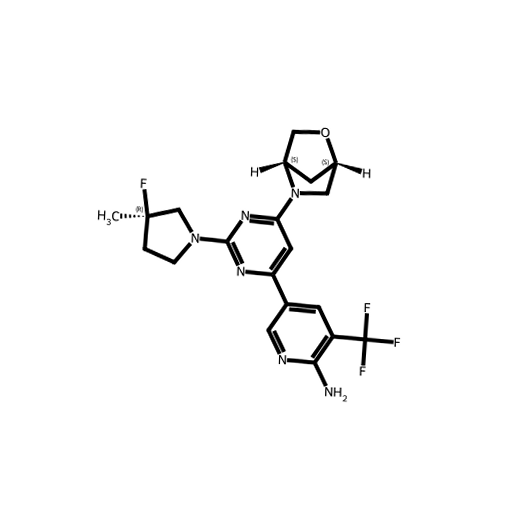 C[C@@]1(F)CCN(c2nc(-c3cnc(N)c(C(F)(F)F)c3)cc(N3C[C@@H]4C[C@H]3CO4)n2)C1